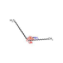 CCCCCCCCCC=CC=CC=CC=CC=CC=CC(=O)O[C@@H](CO)C(OP(=O)(O)OCCN)C(=O)CCCCCCCCCCCCCCCCC